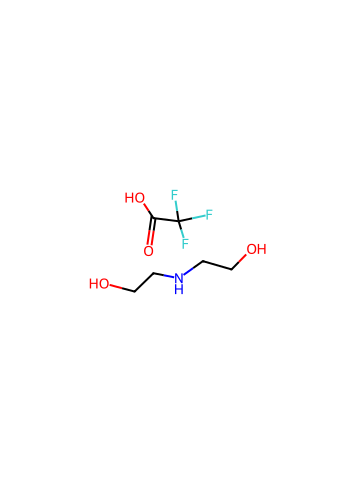 O=C(O)C(F)(F)F.OCCNCCO